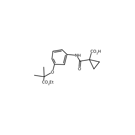 CCOC(=O)C(C)(C)Oc1cccc(NC(=O)C2(C(=O)O)CC2)c1